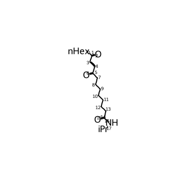 CCCCCCC(=O)C=CC(=O)CCCCCCCC(=O)NC(C)C